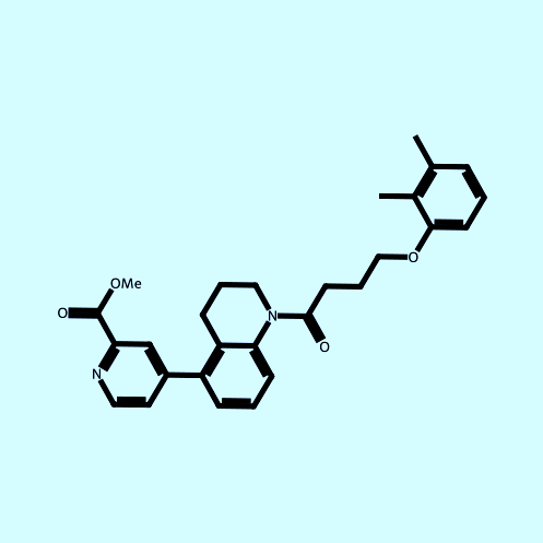 COC(=O)c1cc(-c2cccc3c2CCCN3C(=O)CCCOc2cccc(C)c2C)ccn1